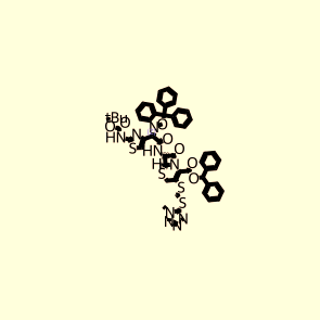 Cn1nnnc1SCSC1=C(C(=O)OC(c2ccccc2)c2ccccc2)N2C(=O)[C@@H](NC(=O)/C(=N\OC(c3ccccc3)(c3ccccc3)c3ccccc3)c3csc(NC(=O)OC(C)(C)C)n3)[C@H]2SC1